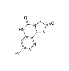 CC(C)c1cc2c(nn1)C1=NC(=O)CN1C(=O)N2